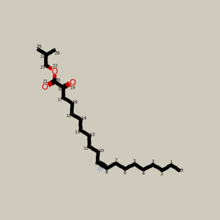 CCCCCCCC/C=C\CCCCCCCCC(=O)C(=O)OCC(C)C